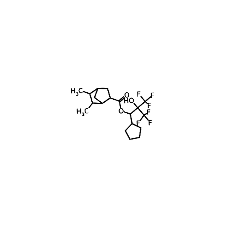 CC1C2CC(C(=O)OC(C3CCCC3)C(O)(C(F)(F)F)C(F)(F)F)C(C2)C1C